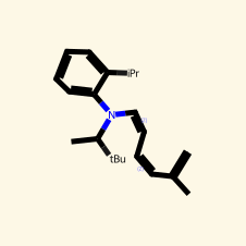 C=C(C)/C=C\C=C/N(c1ccccc1C(C)C)C(C)C(C)(C)C